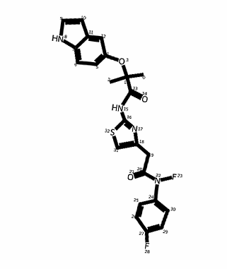 CC(C)(Oc1ccc2[nH]ccc2c1)C(=O)Nc1nc(CC(=O)N(F)c2ccc(F)cc2)cs1